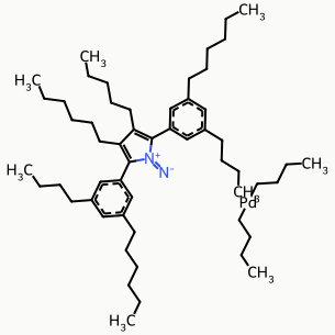 CCCCCCC1=C(c2cc(CCCC)cc(CCCCCC)c2)[N+](=[N-])C(c2cc(CCCC)cc(CCCCCC)c2)=C1CCCCC.CCC[CH2][Pd][CH2]CCC